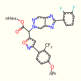 CCCCCCOC(=O)C(c1cc(-c2ccc(OCCC)cc2C(F)(F)F)no1)n1cc2nc(-c3cccc(F)c3F)nc-2cn1